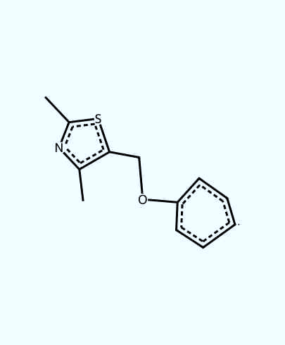 Cc1nc(C)c(COc2cc[c]cc2)s1